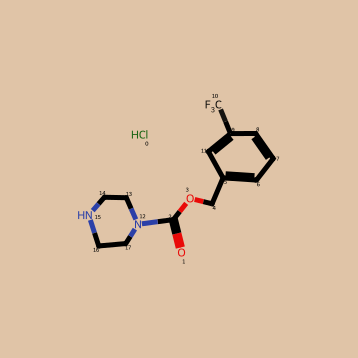 Cl.O=C(OCc1cccc(C(F)(F)F)c1)N1CCNCC1